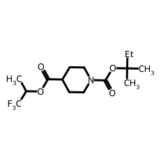 CCC(C)(C)OC(=O)N1CCC(C(=O)OC(C)C(F)(F)F)CC1